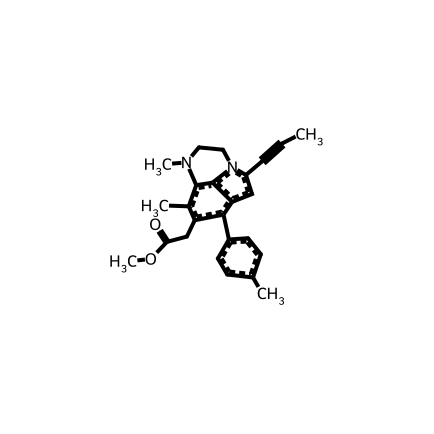 CC#Cc1cc2c(-c3ccc(C)cc3)c(CC(=O)OC)c(C)c3c2n1CCN3C